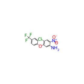 Nc1cc(Oc2ccc(C(F)(F)F)cc2)c(Cl)cc1[N+](=O)[O-]